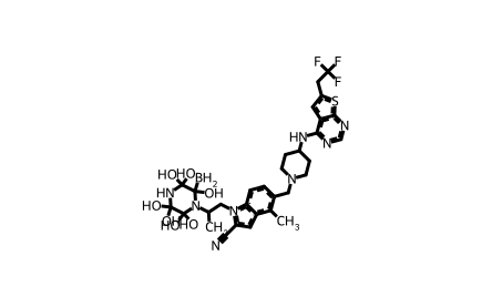 BC1(O)N(C(C)Cn2c(C#N)cc3c(C)c(CN4CCC(Nc5ncnc6sc(CC(F)(F)F)cc56)CC4)ccc32)C(O)(O)C(O)(O)NC1(O)O